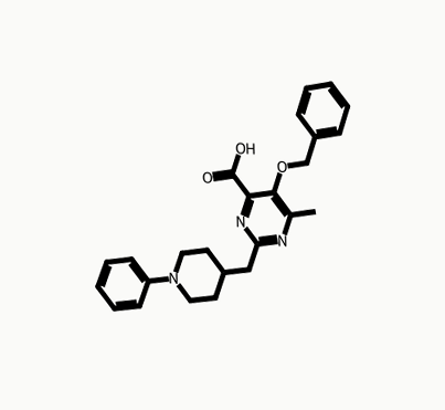 Cc1nc(CC2CCN(c3ccccc3)CC2)nc(C(=O)O)c1OCc1ccccc1